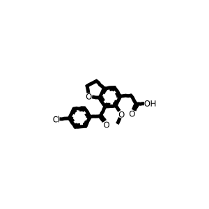 COc1c(CC(=O)O)cc2c(c1C(=O)c1ccc(Cl)cc1)OCC2